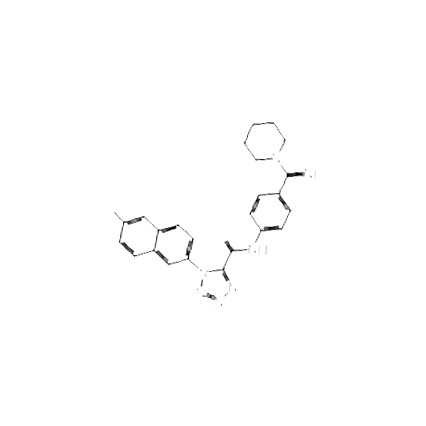 N=C(c1ccc(NC(=O)c2nnnn2-c2ccc3cc(F)ccc3c2)cc1)N1CCCCC1